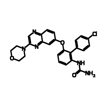 NC(=O)Nc1cccc(Oc2ccc3ncc(N4CCOCC4)nc3c2)c1-c1ccc(Cl)cc1